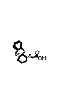 O=C(O)CS[C@@H]1CCCC[C@H]1Sc1ccccc1Br